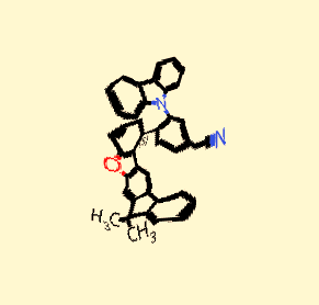 CC1(C)c2ccccc2-c2cc3c4c(oc3cc21)C=CC[C@H]4c1ccc(C#N)cc1-n1c2ccccc2c2ccccc21